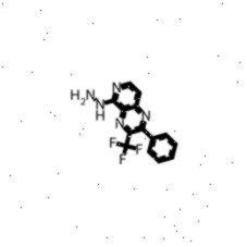 NNc1nccc2nc(-c3ccccc3)c(C(F)(F)F)nc12